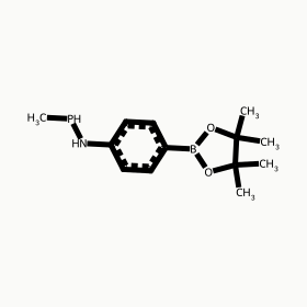 CPNc1ccc(B2OC(C)(C)C(C)(C)O2)cc1